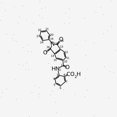 O=C(Nc1ccccc1C(=O)O)c1ccc2c(c1)C(=O)N(c1ccccc1)C2=O